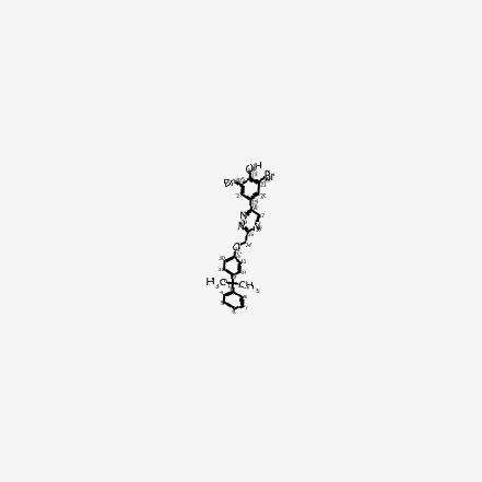 CC(C)(c1ccccc1)c1ccc(OCc2ncc(-c3cc(Br)c(O)c(Br)c3)nn2)cc1